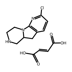 Clc1ccc2c(n1)N1CCNCC1C2.O=C(O)/C=C/C(=O)O